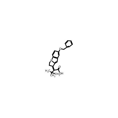 CC(C)(C)C(C(=O)O)=C1CCn2c1cc1cc(OCc3ccccc3)ccc12